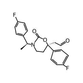 C[C@@H](c1ccc(F)cc1)N1CC[C@](CC=O)(c2ccc(F)cc2)OC1=O